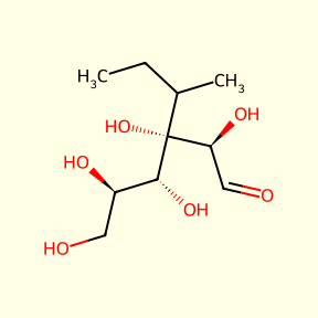 CCC(C)[C@](O)([C@H](O)[C@H](O)CO)[C@@H](O)C=O